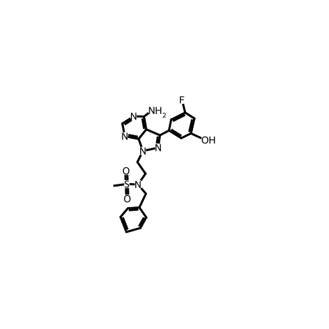 CS(=O)(=O)N(CCn1nc(-c2cc(O)cc(F)c2)c2c(N)ncnc21)Cc1ccccc1